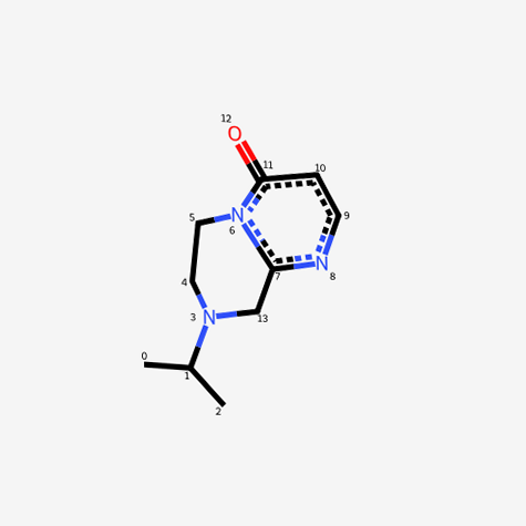 CC(C)N1CCn2c(nccc2=O)C1